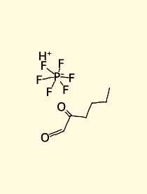 CCCCC(=O)C=O.F[P-](F)(F)(F)(F)F.[H+]